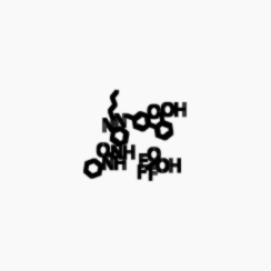 CCCCc1nc2cc(NC(=O)NC3CCCCC3)ccc2n1Cc1ccc(-c2ccccc2C(=O)O)cc1.O=C(O)C(F)(F)F